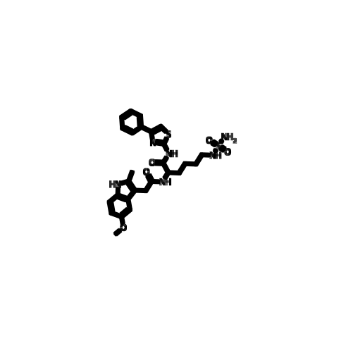 COc1ccc2[nH]c(C)c(CC(=O)NC(CCCCNS(N)(=O)=O)C(=O)Nc3nc(-c4ccccc4)cs3)c2c1